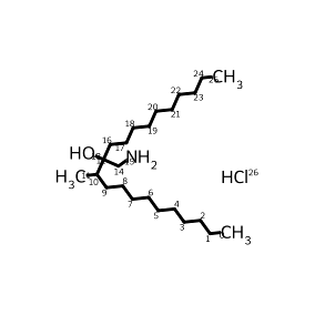 CCCCCCCCCCC(C)C(O)(CN)CCCCCCCCCC.Cl